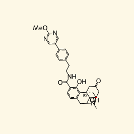 COc1ncc(-c2ccc(CCNC(=O)c3ccc4c(c3O)[C@]35CCN(C)C(C4)C3(O)CCC(=O)C5)cc2)cn1